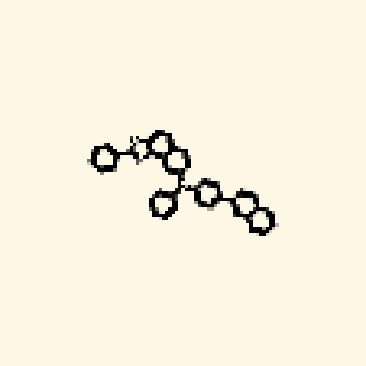 C1=CC2C=CC(c3ccc(N(c4ccccc4)c4ccc5ccc6oc(-c7ccccc7)nc6c5c4)cc3)=CC2C=C1